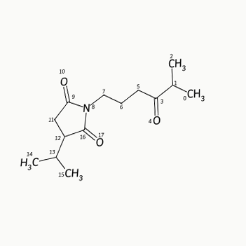 CC(C)C(=O)CCCN1C(=O)CC(C(C)C)C1=O